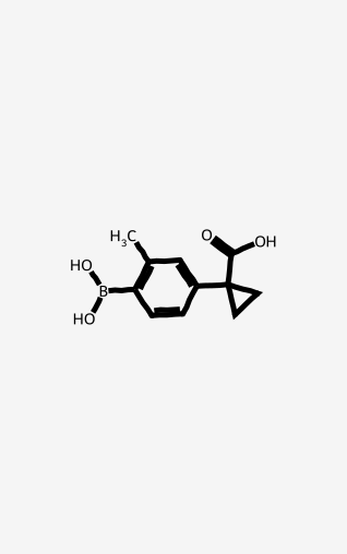 Cc1cc(C2(C(=O)O)CC2)ccc1B(O)O